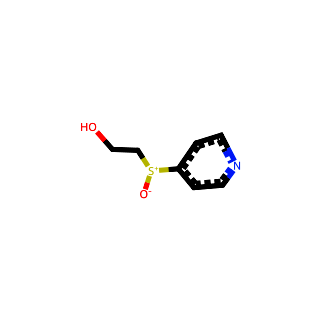 [O-][S+](CCO)c1ccncc1